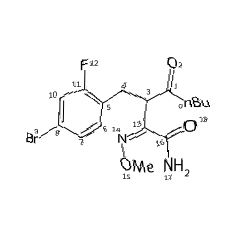 CCCCC(=O)C(Cc1ccc(Br)cc1F)C(=NOC)C(N)=O